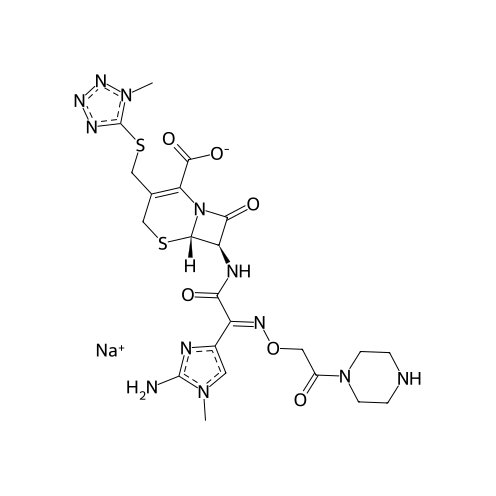 Cn1cc(C(=NOCC(=O)N2CCNCC2)C(=O)N[C@@H]2C(=O)N3C(C(=O)[O-])=C(CSc4nnnn4C)CS[C@@H]23)nc1N.[Na+]